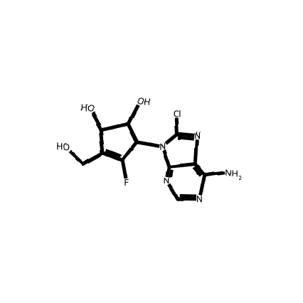 Nc1ncnc2c1nc(Cl)n2C1C(F)=C(CO)C(O)C1O